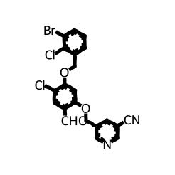 N#Cc1cncc(COc2cc(OCc3cccc(Br)c3Cl)c(Cl)cc2C=O)c1